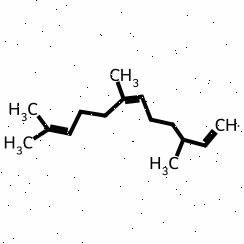 [CH]=CC(C)CCC=C(C)CCC=C(C)C